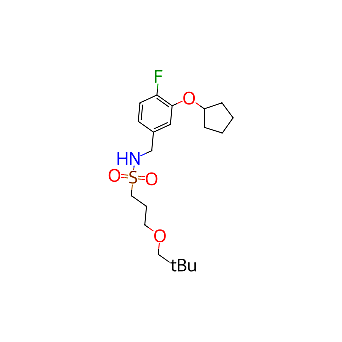 CC(C)(C)COCCCS(=O)(=O)NCc1ccc(F)c(OC2CCCC2)c1